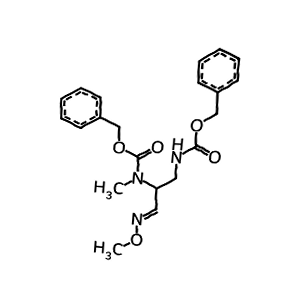 CON=CC(CNC(=O)OCc1ccccc1)N(C)C(=O)OCc1ccccc1